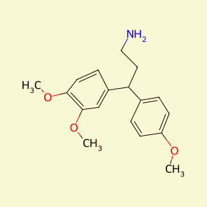 COc1ccc(C(CCN)c2ccc(OC)c(OC)c2)cc1